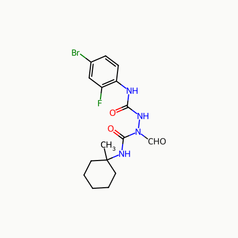 CC1(NC(=O)N(C=O)NC(=O)Nc2ccc(Br)cc2F)CCCCC1